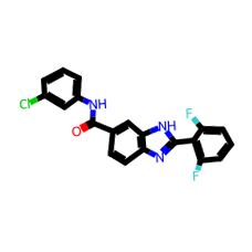 O=C(Nc1cccc(Cl)c1)c1ccc2nc(-c3c(F)cccc3F)[nH]c2c1